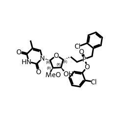 CO[C@@H]1[C@H](O)[C@@H](CCP(=O)(Cc2ccccc2Cl)Oc2ccccc2Cl)O[C@H]1n1cc(C)c(=O)[nH]c1=O